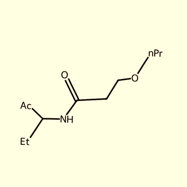 CCCOCCC(=O)NC(CC)C(C)=O